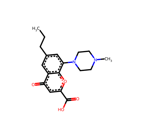 CCCc1cc(N2CCN(C)CC2)c2oc(C(=O)O)cc(=O)c2c1